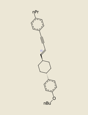 CCCCOc1ccc([C@H]2CC[C@H](/C=C/C#Cc3ccc(CCC)cc3)CC2)cc1